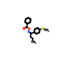 CCCC(=NOC(=O)c1ccccc1)c1ccc(SC)cc1